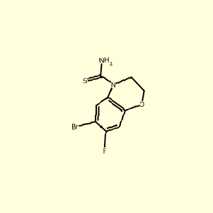 NC(=S)N1CCOc2cc(F)c(Br)cc21